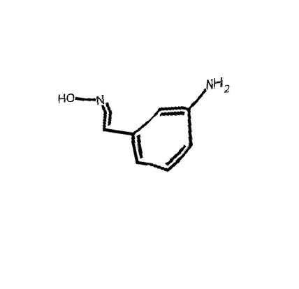 Nc1cccc(C=NO)c1